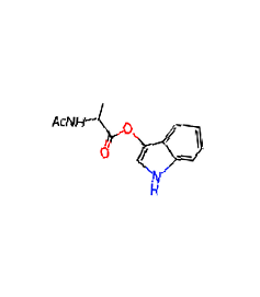 CC(=O)NC(C)C(=O)Oc1c[nH]c2ccccc12